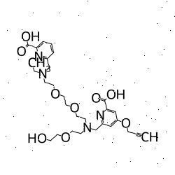 C#CCOc1cc(CN(CCOCCO)CCOCCOCCN(CC)Cc2cccc(C(=O)O)n2)nc(C(=O)O)c1